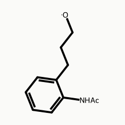 CC(=O)Nc1ccccc1CCC[O]